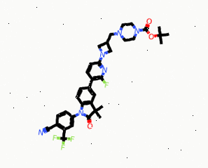 CC(C)(C)OC(=O)N1CCN(CC2CN(c3ccc(-c4ccc5c(c4)C(C)(C)C(=O)N5c4ccc(C#N)c(C(F)(F)F)c4)c(F)n3)C2)CC1